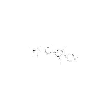 C[Si]1(C)CCN(c2c(F)cc(N3C[C@H](CNC(=O)S)OC3=O)cc2F)CC1